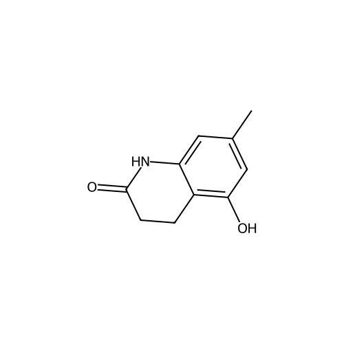 Cc1cc(O)c2c(c1)NC(=O)CC2